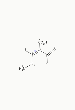 C=C(C)/C(C(=O)O)=C(/C)ON